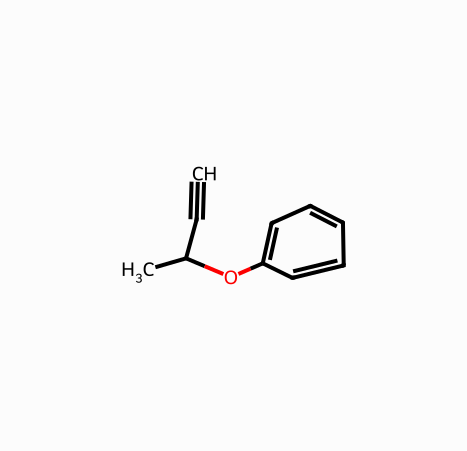 C#CC(C)Oc1ccccc1